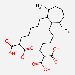 CC1CCCC(C)C(CCCCCC(C(=O)O)C(=O)O)C1CCCCCC(C(=O)O)C(=O)O